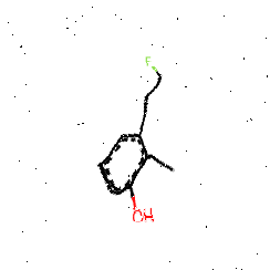 Cc1c(O)cccc1CCCF